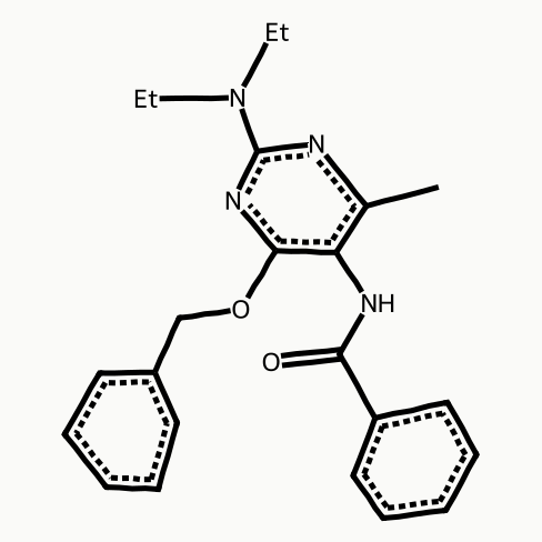 CCN(CC)c1nc(C)c(NC(=O)c2ccccc2)c(OCc2ccccc2)n1